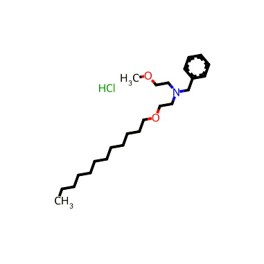 CCCCCCCCCCCCOCCN(CCOC)Cc1ccccc1.Cl